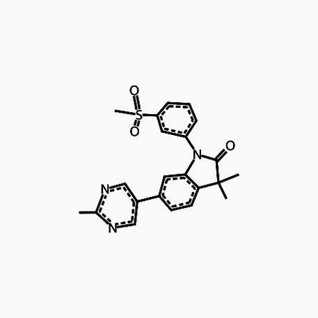 Cc1ncc(-c2ccc3c(c2)N(c2cccc(S(C)(=O)=O)c2)C(=O)C3(C)C)cn1